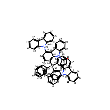 c1ccc(-c2cccc(-n3c4ccccc4c4ccc(-n5c6ccccc6c6c(-n7c8ccccc8c8ccccc87)ccc([Si](c7ccccc7)(c7ccccc7)c7ccccc7)c65)cc43)c2)cc1